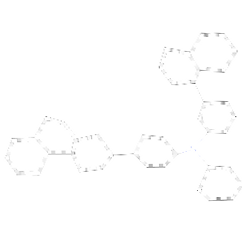 c1ccc(N(c2ccc(-c3ccc4c(ccc5ccccc54)c3)cc2)c2cccc(-c3cccc4ccccc34)c2)cc1